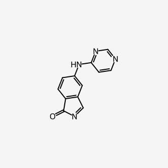 O=C1N=Cc2cc(Nc3ccncn3)ccc21